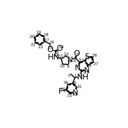 CC(Nc1nc(C(=O)N2CCC(NC(=O)OCc3ccccc3)C2)c2sccc2n1)c1cncc(F)c1